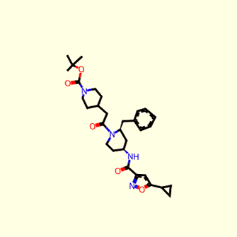 CC(C)(C)OC(=O)N1CCC(CC(=O)N2CC[C@H](NC(=O)c3cc(C4CC4)on3)C[C@@H]2Cc2ccccc2)CC1